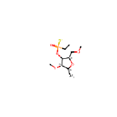 B[C@@H]1O[C@H](COC)C(OP(=O)(S)CC)[C@@H]1OC